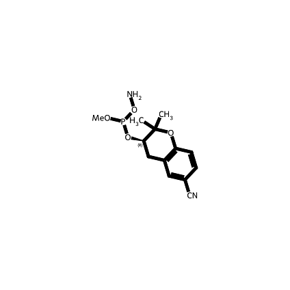 COP(ON)O[C@@H]1Cc2cc(C#N)ccc2OC1(C)C